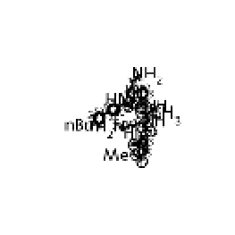 CCCCc1ccc(-c2ccc(C(=O)N[C@@H](CCCCN)C(=O)N3CCC[C@H]3C(=O)N[C@@H](C)C(=O)N[C@@H](CCCCN)C(=O)N[C@@H]3CN(CC(=O)OC)C3=O)cc2)cc1